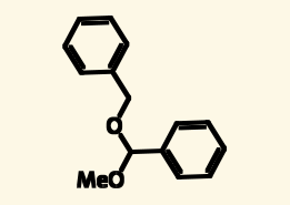 [CH2]OC(OCc1ccccc1)c1ccccc1